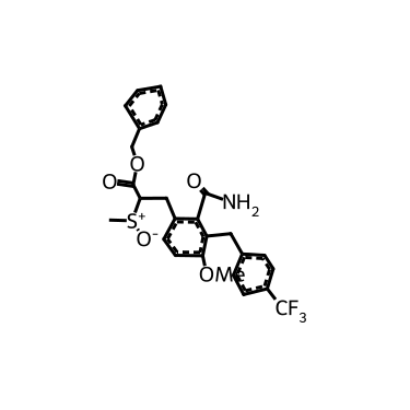 COc1ccc(CC(C(=O)OCc2ccccc2)[S+](C)[O-])c(C(N)=O)c1Cc1ccc(C(F)(F)F)cc1